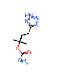 CC(C)(CCc1nn[nH]n1)OC(N)=O